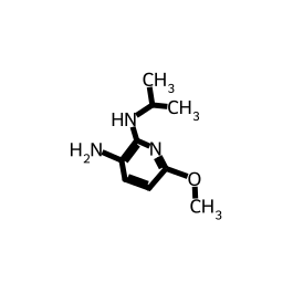 COc1ccc(N)c(NC(C)C)n1